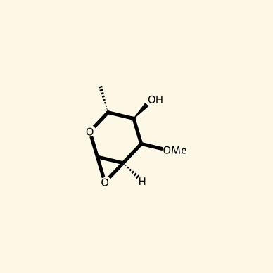 COC1[C@H]2OC2O[C@H](C)[C@H]1O